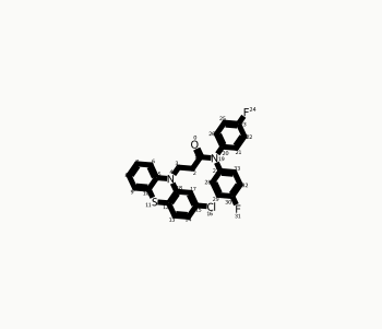 O=C(CCN1c2ccccc2Sc2ccc(Cl)cc21)N(c1ccc(F)cc1)c1ccc(F)cc1